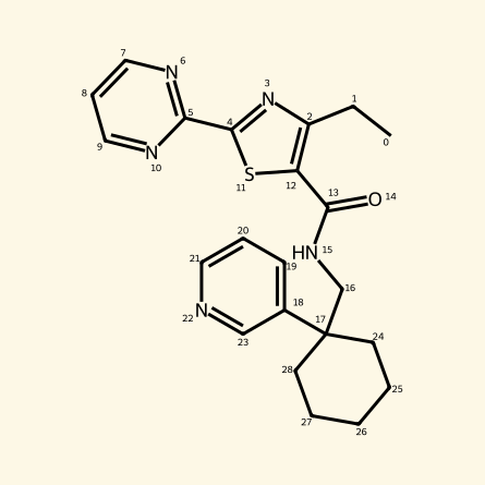 CCc1nc(-c2ncccn2)sc1C(=O)NCC1(c2cccnc2)CCCCC1